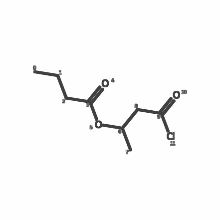 CCCC(=O)OC(C)CC(=O)Cl